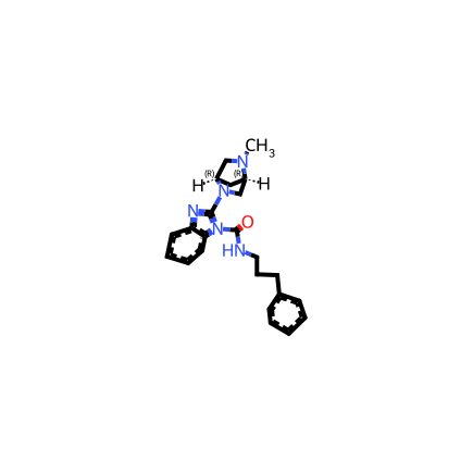 CN1C[C@H]2C[C@@H]1CN2c1nc2ccccc2n1C(=O)NCCCc1ccccc1